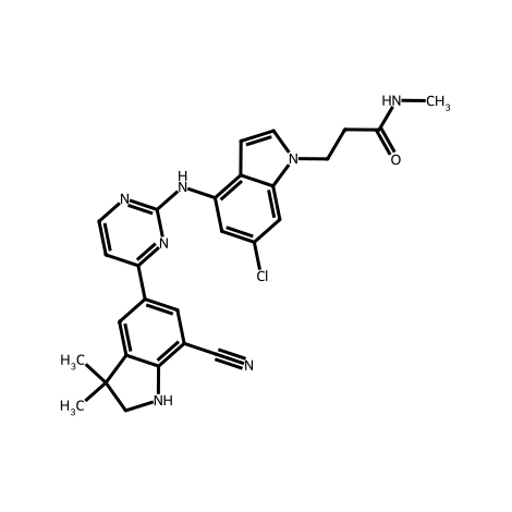 CNC(=O)CCn1ccc2c(Nc3nccc(-c4cc(C#N)c5c(c4)C(C)(C)CN5)n3)cc(Cl)cc21